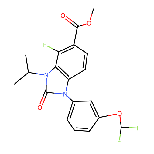 COC(=O)c1ccc2c(c1F)n(C(C)C)c(=O)n2-c1cccc(OC(F)F)c1